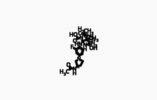 CC(=O)N[C@@H]1CCN(c2ccc(NC(NC(=O)O)(N(C(=O)O)C(C)(C)C)C(C)(C)C)c(F)c2)C1